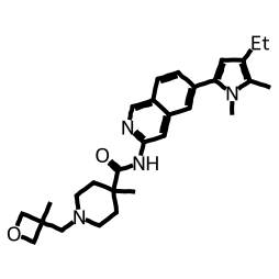 CCc1cc(-c2ccc3cnc(NC(=O)C4(C)CCN(CC5(C)COC5)CC4)cc3c2)n(C)c1C